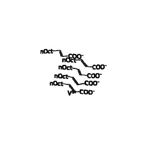 CCCCCCCCC=CC(=O)[O-].CCCCCCCCC=CC(=O)[O-].CCCCCCCCC=CC(=O)[O-].CCCCCCCCC=CC(=O)[O-].CCCCCCCCC=CC(=O)[O-].[V+5]